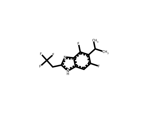 CC(C)c1c(F)cc2[nH]c(CC(F)(F)F)nc2c1F